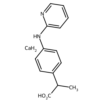 CC(C(=O)O)c1ccc(Nc2ccccn2)cc1.[CaH2]